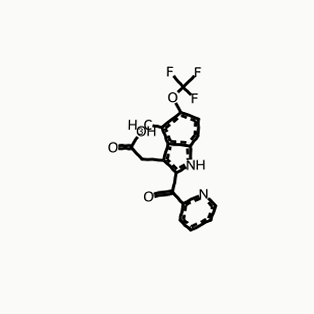 Cc1c(OC(F)(F)F)ccc2[nH]c(C(=O)c3ccccn3)c(CC(=O)O)c12